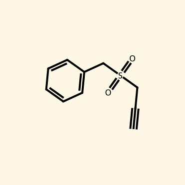 C#CCS(=O)(=O)Cc1ccccc1